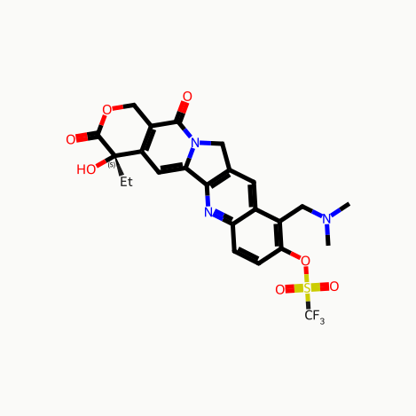 CC[C@@]1(O)C(=O)OCc2c1cc1n(c2=O)Cc2cc3c(CN(C)C)c(OS(=O)(=O)C(F)(F)F)ccc3nc2-1